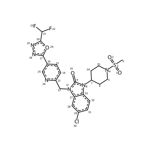 CS(=O)(=O)N1CCC(n2c(=O)n(Cc3ccc(-c4nnc(C(F)F)o4)cn3)c3cc(Cl)ccc32)CC1